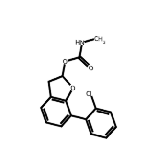 CNC(=O)OC1Cc2cccc(-c3ccccc3Cl)c2O1